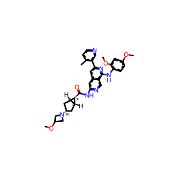 COc1ccc(Nc2nc(-c3cnccc3C)cc3cc(NC(=O)[C@H]4[C@@H]5C[C@H](N6CC(OC)C6)C[C@@H]54)ncc23)c(OC)c1